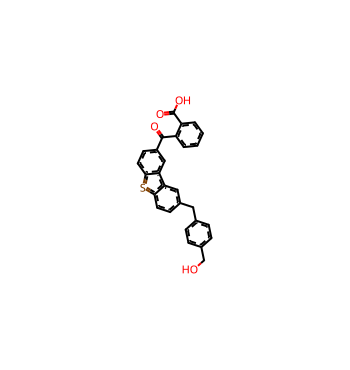 O=C(O)c1ccccc1C(=O)c1ccc2sc3ccc(Cc4ccc(CO)cc4)cc3c2c1